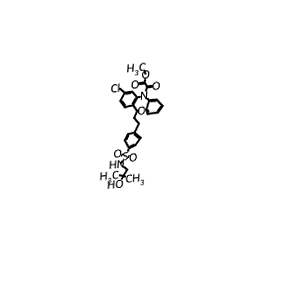 COC(=O)C(=O)N(c1ccccc1)c1cc(Cl)ccc1C(=O)CCc1ccc(S(=O)(=O)NCC(C)(C)O)cc1